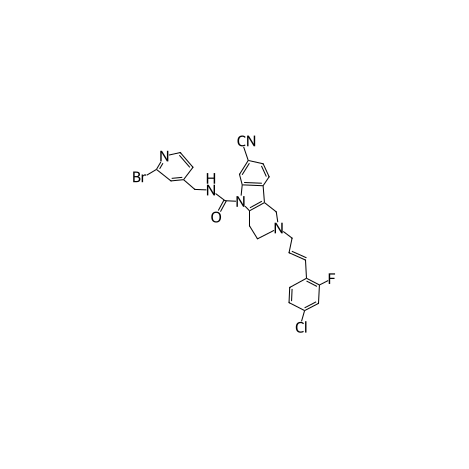 N#Cc1ccc2c3c(n(C(=O)NCc4ccnc(Br)c4)c2c1)CCN(CC=Cc1ccc(Cl)cc1F)C3